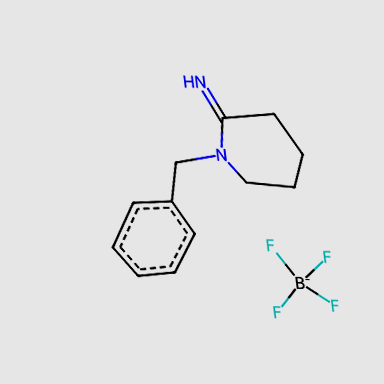 F[B-](F)(F)F.N=C1CCCCN1Cc1ccccc1